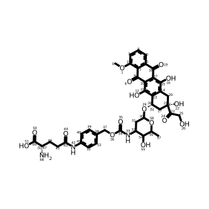 COc1cccc2c1C(=O)c1c(O)c3c(c(O)c1C2=O)C[C@@](O)(C(=O)CO)C[C@@H]3OC1CC(NC(=O)OCc2ccc(NC(=O)CC[C@H](N)C(=O)O)cc2)C(O)C(C)O1